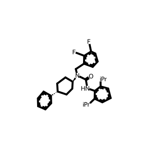 CC(C)c1cccc(C(C)C)c1NC(=O)N(Cc1cccc(F)c1F)[C@H]1CC[C@H](c2ccccc2)CC1